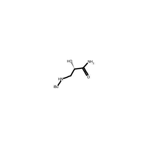 CCC(C)NC[C@H](O)C(N)=O